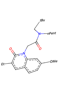 CCCCCN(CC(C)(C)C)C(=O)Cn1c(=O)c(CC)cc2ccc(OC)cc21